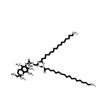 CCCCCCCCCCCCCCCCCC(=O)OC[C@H](COP(=O)(O)Oc1c(C)c(C)c2c(c1C)CCC(C)(CO)O2)OC(=O)CCCCCCCCCCCCCCCCC